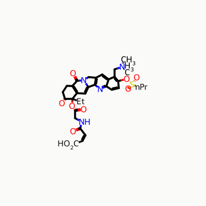 CCCS(=O)(=O)Oc1ccc2nc3c(cc2c1CN(C)C)Cn1c-3cc2c(c1=O)CCC(=O)C2(CC)OC(=O)CNC(=O)/C=C\C(=O)O